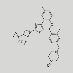 Cc1ccc(OCc2ccc(CN3CC[S+]([O-])CC3)cc2C)c(-c2csc(N3CC(C4(C(=O)O)CC4)C3)n2)c1